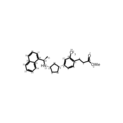 COC(=O)CCc1ccc([C@@H]2CC[C@H](N[C@H](C)c3cccc4ccccc34)C2)cc1C(F)(F)F